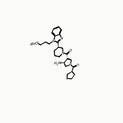 COCCCn1c([C@@H]2CCCN(C(=O)[C@@H]3CN(C(=O)C4CCCC4)C[C@H]3N)C2)nc2ccccc21